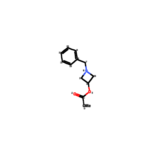 COC(=O)OC1CN(Cc2ccccc2)C1